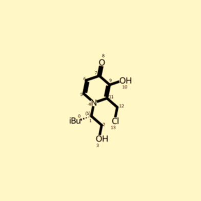 CCC(C)[C@@H](CO)n1ccc(=O)c(O)c1CCl